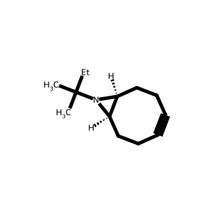 CCC(C)(C)N1[C@@H]2CCC#CCC[C@@H]21